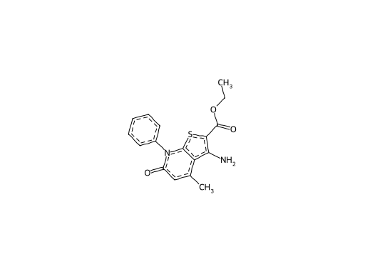 CCOC(=O)c1sc2c(c(C)cc(=O)n2-c2ccccc2)c1N